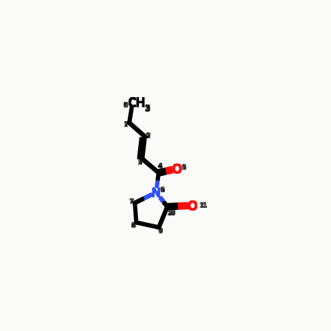 CCC=CC(=O)N1CCCC1=O